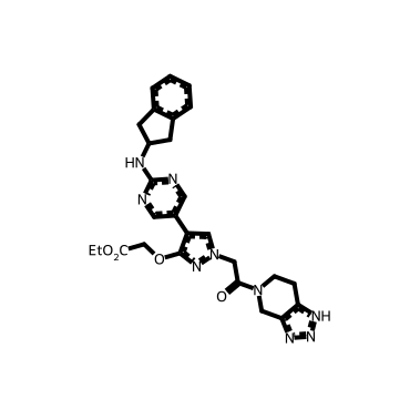 CCOC(=O)COc1nn(CC(=O)N2CCc3[nH]nnc3C2)cc1-c1cnc(NC2Cc3ccccc3C2)nc1